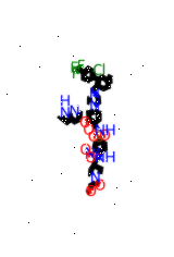 COCC(=O)N1CCC(CNc2ccc(S(=O)(=O)NC(=O)c3ccc(N4CCN(CC5=C(c6ccc(C(F)(F)F)cc6Cl)CC(C)(C)CC5)CC4)cc3Oc3cnc4[nH]ccc4c3)cc2[N+](=O)[O-])CC1